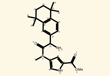 COC(=O)c1cc(N(C)C(=O)C(N)c2ccc3c(c2)C(C)(C)CCC3(C)C)c[nH]1